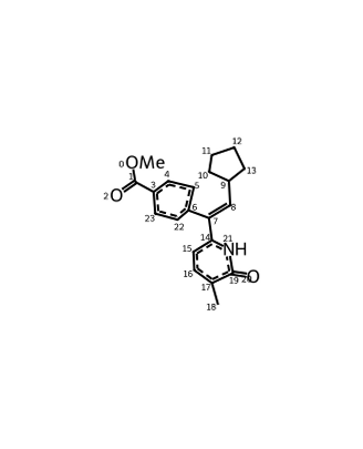 COC(=O)c1ccc(/C(=C\C2CCCC2)c2ccc(C)c(=O)[nH]2)cc1